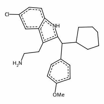 COc1ccc(C(c2[nH]c3ccc(Cl)cc3c2CCN)C2CCCCC2)cc1